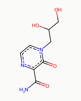 NC(=O)c1nccn(CC(O)CO)c1=O